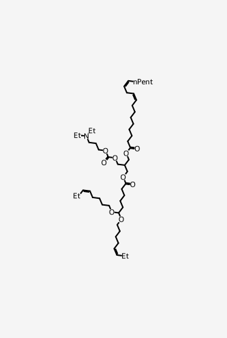 CC/C=C\CCCCOC(CCCCC(=O)OCC(COC(=O)CCCCCCC/C=C\C/C=C\CCCCC)COC(=O)OCCCN(CC)CC)OCCCC/C=C\CC